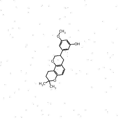 COc1cc(O)cc(C2COc3c(ccc4c3CCC(C)(C)O4)C2)c1